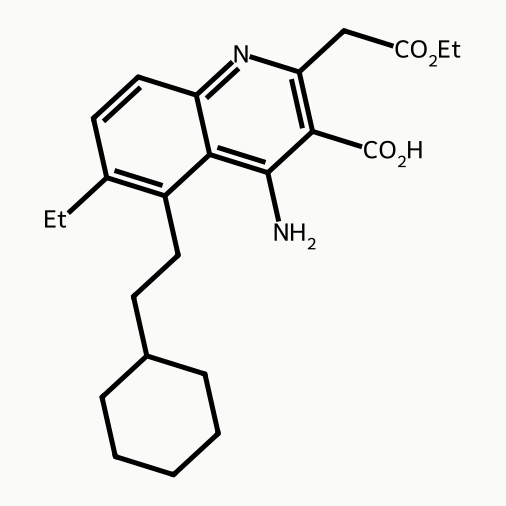 CCOC(=O)Cc1nc2ccc(CC)c(CCC3CCCCC3)c2c(N)c1C(=O)O